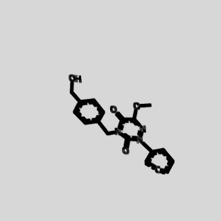 COc1nn(-c2ccccc2)c(=O)n(Cc2ccc(CO)cc2)c1=O